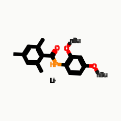 CCCCOc1ccc(PC(=O)c2c(C)cc(C)cc2C)c(OCCCC)c1.[Li]